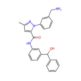 Cc1cc(C(=O)Nc2cccc(C(O)c3ccccc3)c2)n(-c2cccc(CN)c2)n1